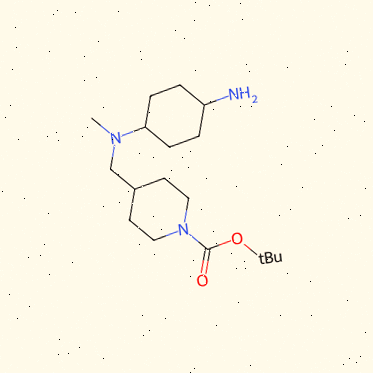 CN(CC1CCN(C(=O)OC(C)(C)C)CC1)C1CCC(N)CC1